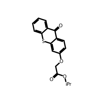 CC(C)OC(=O)COc1ccc2c(=O)c3ccccc3sc2c1